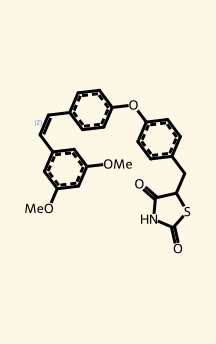 COc1cc(/C=C\c2ccc(Oc3ccc(CC4SC(=O)NC4=O)cc3)cc2)cc(OC)c1